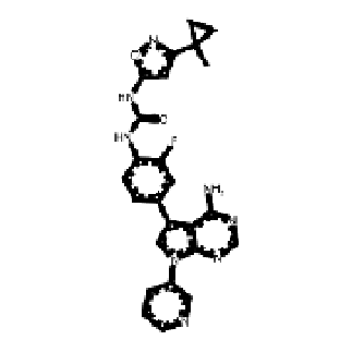 CC1(c2cc(NC(=O)Nc3ccc(-c4cn(-c5cccnc5)c5ncnc(N)c45)cc3F)on2)CC1